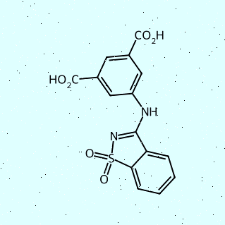 O=C(O)c1cc(NC2=NS(=O)(=O)c3ccccc32)cc(C(=O)O)c1